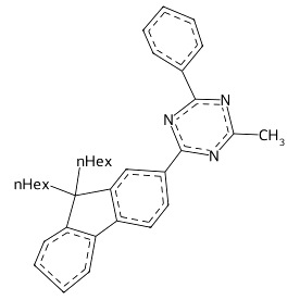 CCCCCCC1(CCCCCC)c2ccccc2-c2ccc(-c3nc(C)nc(-c4ccccc4)n3)cc21